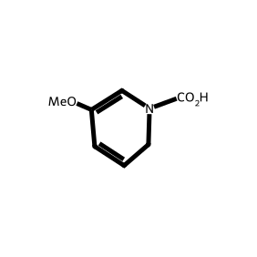 COC1=CN(C(=O)O)CC=C1